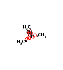 CCO[O][Ti]([O]C)([O]OCC)[O]OCC